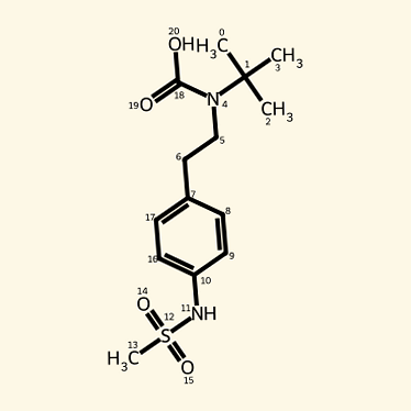 CC(C)(C)N(CCc1ccc(NS(C)(=O)=O)cc1)C(=O)O